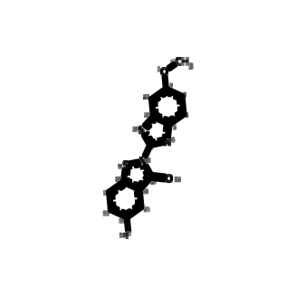 COc1ccc2nc(-n3sc4ccc(F)cc4c3=O)sc2c1